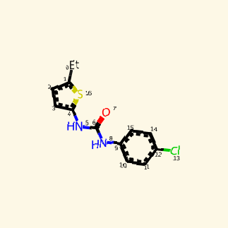 CCc1ccc(NC(=O)Nc2ccc(Cl)cc2)s1